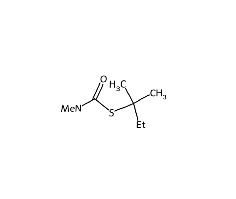 CCC(C)(C)SC(=O)NC